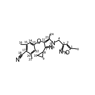 Cc1cc(Cn2nc(C3CC3)c(Oc3cc(C)c(C#N)c(C)c3)c2C)no1